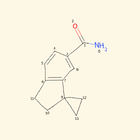 NC(=O)c1ccc2c(c1)C1(CC2)CC1